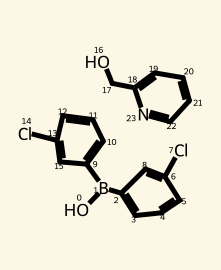 OB(c1cccc(Cl)c1)c1cccc(Cl)c1.OCc1ccccn1